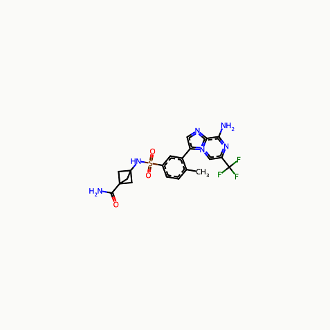 Cc1ccc(S(=O)(=O)NC23CC(C(N)=O)(C2)C3)cc1-c1cnc2c(N)nc(C(F)(F)F)cn12